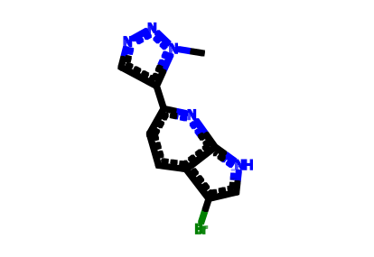 Cn1nncc1-c1ccc2c(Br)c[nH]c2n1